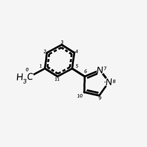 Cc1cccc(C2=N[N]C=C2)c1